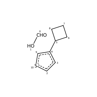 O=CO.c1cc(C2CCC2)cs1